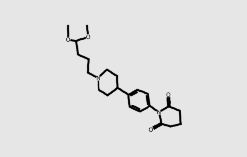 COC(CCCN1CCC(c2ccc(N3C(=O)CCCC3=O)cc2)CC1)OC